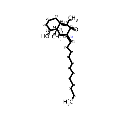 CCCCCCCCCCC/C=C1\C[C@@]2(C)C(=C(C)C1=O)CCC[C@@H]2O